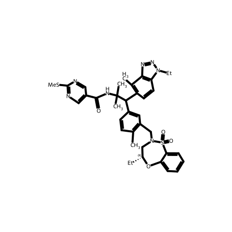 CC[C@@H]1CN(Cc2cc(C(c3ccc4c(nnn4CC)c3C)C(C)(C)NC(=O)c3cnc(SC)nc3)ccc2C)S(=O)(=O)c2ccccc2O1